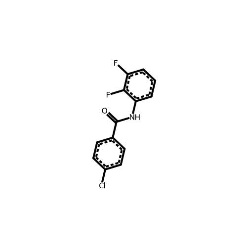 O=C(Nc1cccc(F)c1F)c1ccc(Cl)cc1